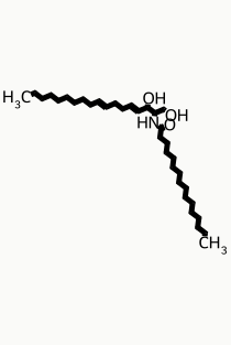 CCCCCCCCC/C=C/CC/C=C/C(O)C(CO)NC(=O)CCCCCCCCCCCCCCC